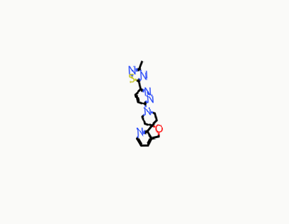 Cc1nsc(-c2ccc(N3CCC4(CC3)OCc3cccnc34)nn2)n1